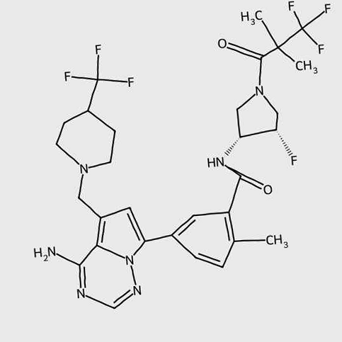 Cc1ccc(-c2cc(CN3CCC(C(F)(F)F)CC3)c3c(N)ncnn23)cc1C(=O)N[C@@H]1CN(C(=O)C(C)(C)C(F)(F)F)C[C@@H]1F